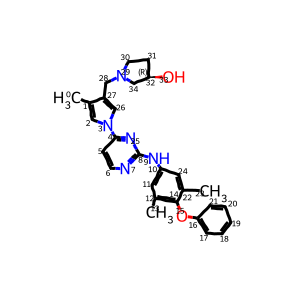 Cc1cn(-c2ccnc(Nc3cc(C)c(Oc4ccccc4)c(C)c3)n2)cc1CN1CC[C@@H](O)C1